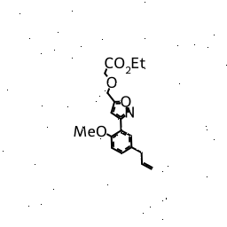 C=CCc1ccc(OC)c(-c2cc(COCC(=O)OCC)on2)c1